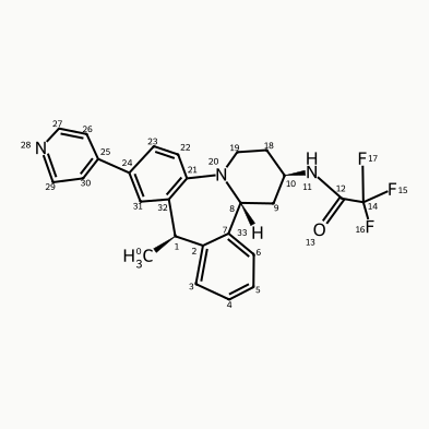 C[C@@H]1c2ccccc2[C@H]2C[C@H](NC(=O)C(F)(F)F)CCN2c2ccc(-c3ccncc3)cc21